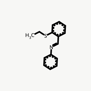 CCSc1ccccc1C=Nc1ccccc1